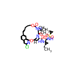 CC[C@@H]1C[C@]1(NC(=O)[C@@H]1C[C@@H]2CN1C(=O)[C@H](C(C)(C)C)NC(=O)OCCC/C=C/c1ccc3cc(Cl)nc(c3c1)O2)C(=O)NS(=O)(=O)C1CC1